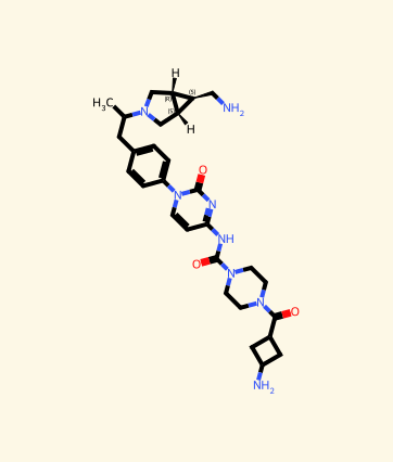 CC(Cc1ccc(-n2ccc(NC(=O)N3CCN(C(=O)C4CC(N)C4)CC3)nc2=O)cc1)N1C[C@@H]2[C@@H](CN)[C@@H]2C1